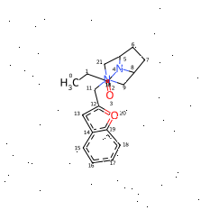 CCC(=O)N1C2CCC1CN(Cc1cc3ccccc3o1)C2